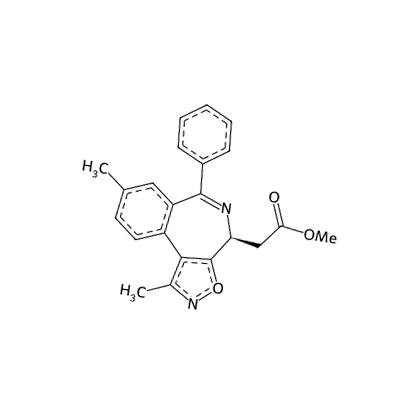 COC(=O)C[C@@H]1N=C(c2ccccc2)c2cc(C)ccc2-c2c(C)noc21